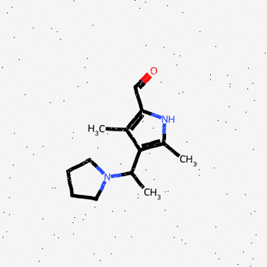 Cc1[nH]c(C=O)c(C)c1C(C)N1CCCC1